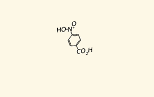 O=C(O)c1ccc([N+](=O)O)cc1